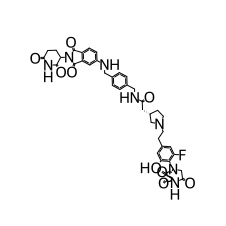 O=C(C[C@@H]1CCN(CCc2cc(O)c(N3CC(=O)NS3(=O)=O)c(F)c2)C1)NCc1ccc(CNc2ccc3c(c2)C(=O)N(C2CCC(=O)NC2=O)C3=O)cc1